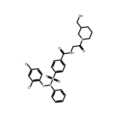 O=C(NCC(=O)N1CCCC(CO)C1)c1ccc(S(=O)(=O)N(Oc2ccc(Cl)cc2Cl)c2ccccc2)cc1